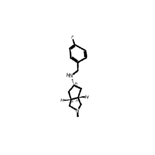 CN1C[C@H]2C[C@@H](NCc3ccc(F)cc3)C[C@H]2C1